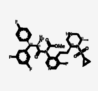 COC(=O)N(C(=O)[C@@H](N)[C@@H](c1ccc(F)cc1)c1cc(F)cc(F)c1)c1cncc(F)c1CC[C@H]1CNC[C@H](C)N1S(=O)(=O)C1CC1